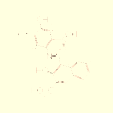 Cc1cc(S(=O)O)c(/N=N/c2c(O)c(C(=O)O)cc3ccccc23)cc1Cl